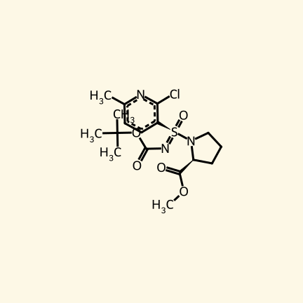 COC(=O)[C@@H]1CCCN1[S@@](=O)(=NC(=O)OC(C)(C)C)c1ccc(C)nc1Cl